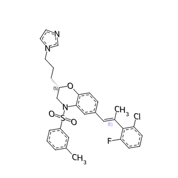 C/C(=C\c1ccc2c(c1)N(S(=O)(=O)c1cccc(C)c1)C[C@H](CCCn1ccnc1)O2)c1c(F)cccc1Cl